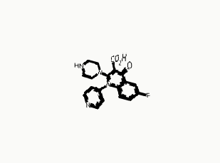 O=C(O)c1c(N2CCNCC2)n(-c2ccncc2)c2ccc(F)cc2c1=O